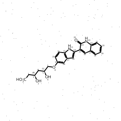 O=C(O)C[C@H](O)C[C@H](O)COc1ccc2[nH]c(-c3cc4ccccc4[nH]c3=O)cc2c1